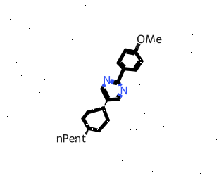 CCCCC[C@H]1CC[C@H](c2cnc(-c3ccc(OC)cc3)nc2)CC1